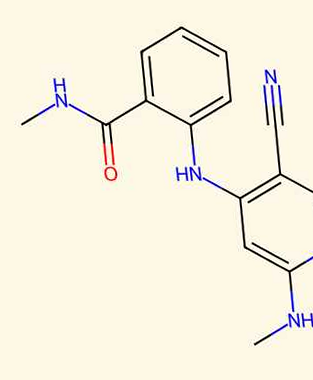 CNC(=O)c1ccccc1Nc1cc(NC)ncc1C#N